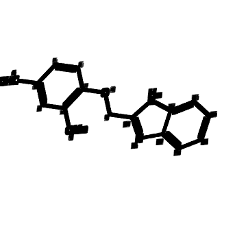 COc1cc(C=O)ccc1OCc1nc2ccccc2[nH]1